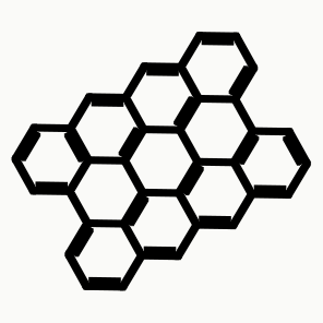 c1cc2cc3cc4cccc5c6cccc7cc8cc9cccc%10c(c1)c2c1c3c(c45)c(c76)c8c1c9%10